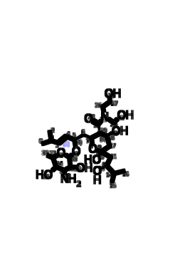 CC(C)/C=C/[C@@H](C[C@@H]1O[C@](O)(C[C@@H](O)C(C)C)C[C@H](O)[C@H]1C(=O)N(CO)CCO)OC1OC(C)C(O)C(N)C1O